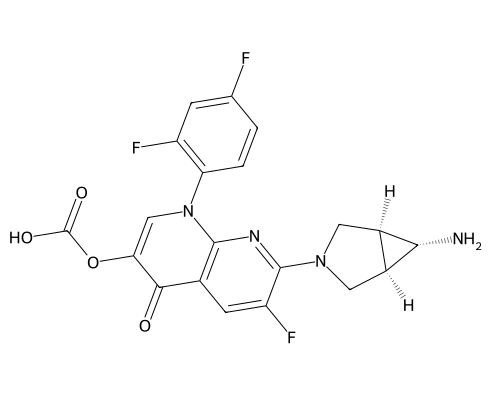 N[C@@H]1[C@H]2CN(c3nc4c(cc3F)c(=O)c(OC(=O)O)cn4-c3ccc(F)cc3F)C[C@@H]12